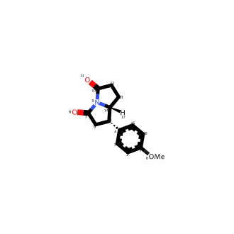 COc1ccc([C@@H]2CC(=O)N3C(=O)CC[C@H]23)cc1